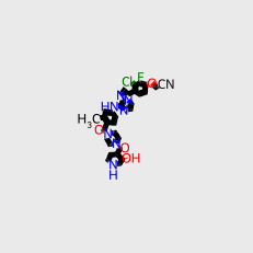 Cc1cc(Nc2nccn3c(-c4ccc(OCC#N)c(F)c4Cl)cnc23)ccc1C(=O)N1CCN(C(=O)C2CCNC[C@H]2O)CC1